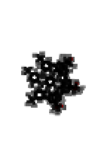 Cc1cc(C(C)(C)C)cc2c1N(C)c1c3c(c(-n4c5ccc(C(C)(C)C)cc5c5cc(C(C)(C)C)ccc54)c(-n4c5ccc(C(C)(C)C)cc5c5cc(C(C)(C)C)ccc54)c1-n1c4ccc(C(C)(C)C)cc4c4cc(C(C)(C)C)ccc41)-n1c4ccc(C(C)(C)C)cc4c4cc(C(C)(C)C)cc(c41)B23